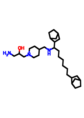 NCC(O)CN1CCC(CNC(CCCCCCC2CC3CCC2C3)C2CC3CCC2C3)CC1